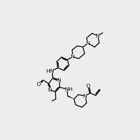 C=CC(=O)N1CCC[C@@H](CNc2nc(Nc3ccc(N4CCC(N5CCN(C)CC5)CC4)cc3)c(C=O)nc2CC)C1